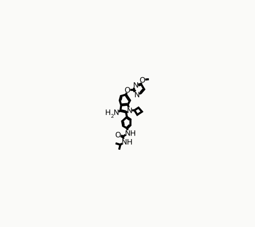 COc1ccnc(Oc2ccc3c(N)c(-c4ccc(NC(=O)NC(C)C)cc4)n(C4CCC4)c3c2)n1